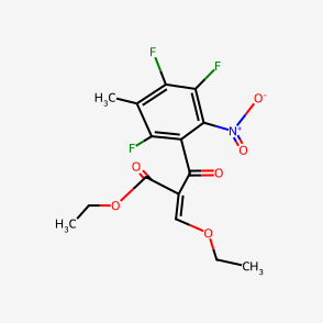 CCO/C=C(/C(=O)OCC)C(=O)c1c(F)c(C)c(F)c(F)c1[N+](=O)[O-]